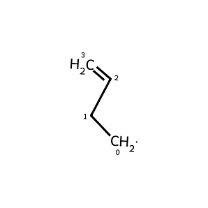 [CH2]CC=C